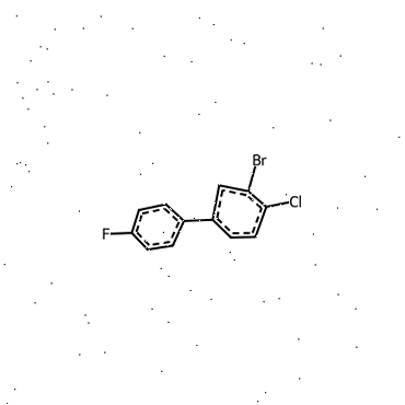 Fc1ccc(-c2ccc(Cl)c(Br)c2)cc1